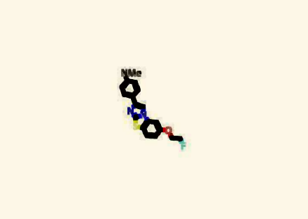 CNc1ccc(-c2cn3c(n2)sc2ccc(OCCF)cc23)cc1